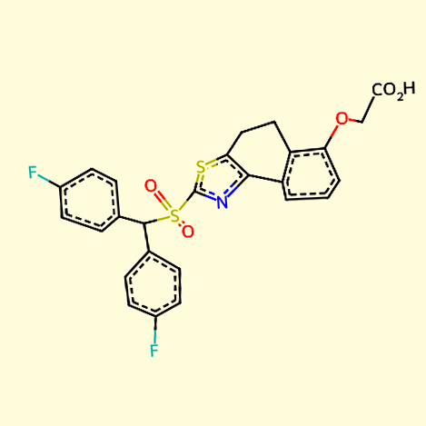 O=C(O)COc1cccc2c1CCc1sc(S(=O)(=O)C(c3ccc(F)cc3)c3ccc(F)cc3)nc1-2